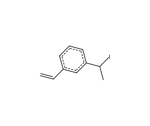 C=Cc1cccc(C(C)I)c1